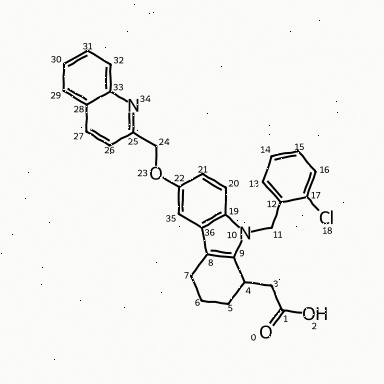 O=C(O)CC1CCCc2c1n(Cc1ccccc1Cl)c1ccc(OCc3ccc4ccccc4n3)cc21